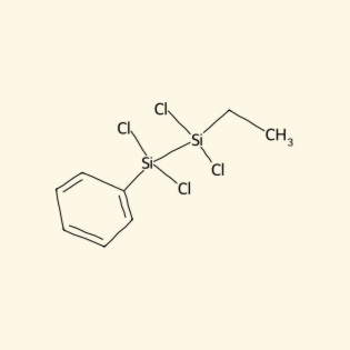 CC[Si](Cl)(Cl)[Si](Cl)(Cl)c1ccccc1